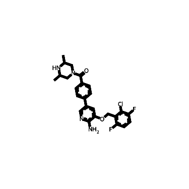 CC1CN(C(=O)c2ccc(-c3cnc(N)c(OCc4c(F)ccc(F)c4Cl)c3)cc2)CC(C)N1